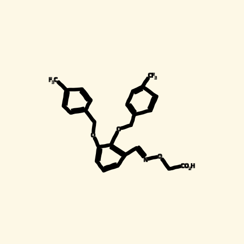 O=C(O)CO/N=C/c1cccc(OCc2ccc(C(F)(F)F)cc2)c1OCc1ccc(C(F)(F)F)cc1